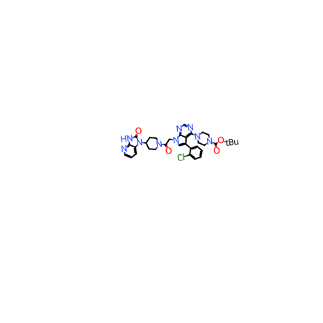 CC(C)(C)OC(=O)N1CCN(c2ncnc3c2c(-c2ccccc2Cl)cn3CC(=O)N2CCC(n3c(=O)[nH]c4ncccc43)CC2)CC1